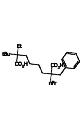 CCCC(CCCCC(CC)(C(=O)O)C(C)(C)C)(Cc1ccccc1)C(=O)O